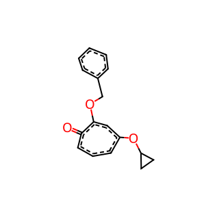 O=c1cccc(OC2CC2)cc1OCc1ccccc1